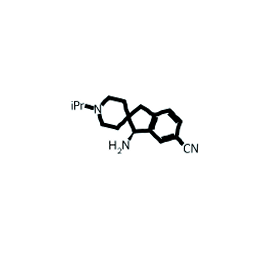 CC(C)N1CCC2(CC1)Cc1ccc(C#N)cc1[C@H]2N